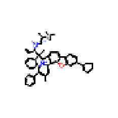 C=CC(N(C)/C=C(\C)[Si](C)(C)C)C(C)(C1C=CC=CC1)C1c2ccc3c(oc4cc(-c5ccccc5)ccc43)c2-c2cc(C)c(-c3ccccc3)c[n+]21